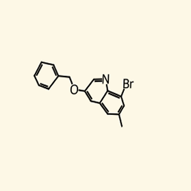 Cc1cc(Br)c2ncc(OCc3ccccc3)cc2c1